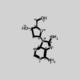 Nc1ncnc2c1nc(N)n2[C@H]1C[C@H](O)[C@@H](CO)O1